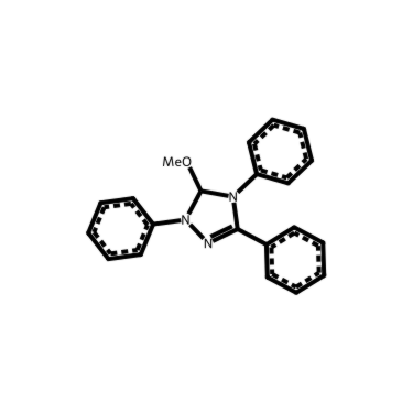 COC1N(c2ccccc2)N=C(c2ccccc2)N1c1ccccc1